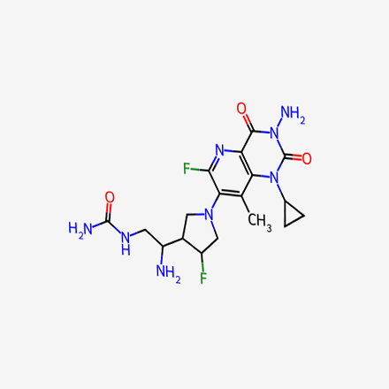 Cc1c(N2CC(F)C(C(N)CNC(N)=O)C2)c(F)nc2c(=O)n(N)c(=O)n(C3CC3)c12